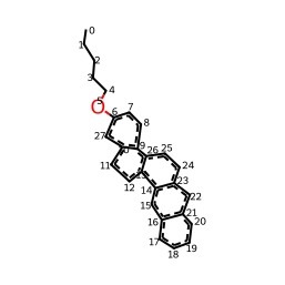 CCCCCOc1ccc2c(ccc3c4cc5ccccc5cc4ccc23)c1